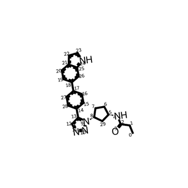 CCC(=O)N[C@H]1CC[C@@H](n2nncc2-c2ccc(-c3ccc4cc[nH]c4c3)cc2)C1